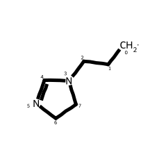 [CH2]CCN1C=NCC1